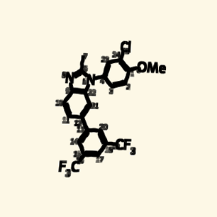 COc1ccc(-n2c(C)nc3ccc(-c4cc(C(F)(F)F)cc(C(F)(F)F)c4)cc32)cc1Cl